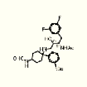 CC(=O)N[C@@H](Cc1cc(F)cc(F)c1)[C@H](O)CNC1(c2cccc(C(C)(C)C)c2)CCC(NC=O)CC1